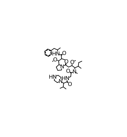 CCC(C)C(C(CC(=O)N1CCCC1C(OC)C(C)C(=O)NC(C)Cc1ccccc1)OC)N(C)C(=O)CNC(=O)C(C(C)C)N1CCNCC1